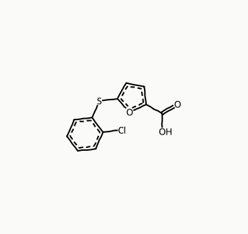 O=C(O)c1ccc(Sc2ccccc2Cl)o1